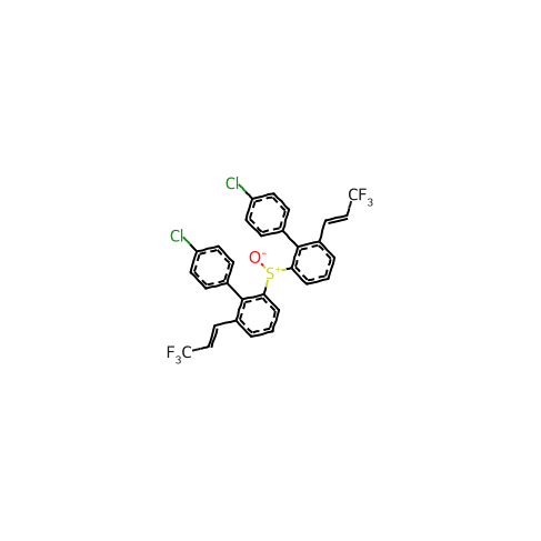 [O-][S+](c1cccc(C=CC(F)(F)F)c1-c1ccc(Cl)cc1)c1cccc(C=CC(F)(F)F)c1-c1ccc(Cl)cc1